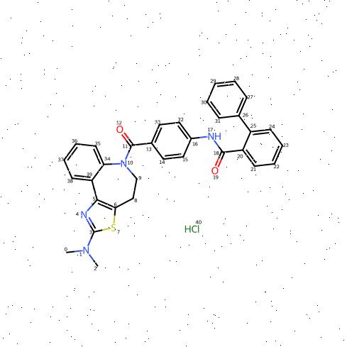 CN(C)c1nc2c(s1)CCN(C(=O)c1ccc(NC(=O)c3ccccc3-c3ccccc3)cc1)c1ccccc1-2.Cl